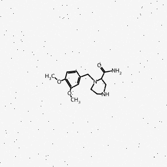 COc1ccc(CN2CCNCC2C(N)=O)cc1OC